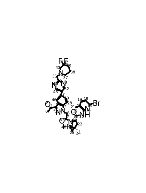 CC(=O)c1nn(CC(=O)N2[C@H](C(=O)Nc3nc(Br)ccc3C)C[C@@]3(C)C[C@@H]23)c2ccc(-c3cnc(CN4CCCC(F)(F)C4)nc3)cc12